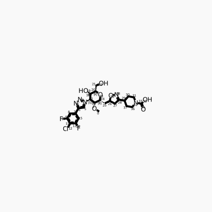 CO[C@@H]1[C@@H](n2cc(-c3cc(F)c(Cl)c(F)c3)nn2)[C@@H](O)[C@@H](CO)O[C@@H]1CC1CC(C2CCN(C(=O)O)CC2)=NO1